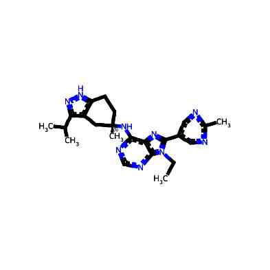 CCn1c(-c2cnc(C)nc2)nc2c(N[C@@]3(C)CCc4[nH]nc(C(C)C)c4C3)ncnc21